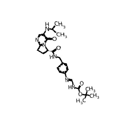 CC(C)Nc1cnc2n(c1=O)[C@H](C(=O)NCc1ccc(/N=C/NC(=O)OC(C)(C)C)cc1)CC2